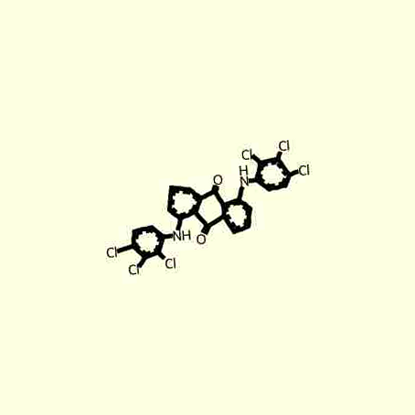 O=C1c2cccc(Nc3ccc(Cl)c(Cl)c3Cl)c2C(=O)c2cccc(Nc3ccc(Cl)c(Cl)c3Cl)c21